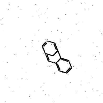 C1=NC=C2CC1=Cc1ccccc12